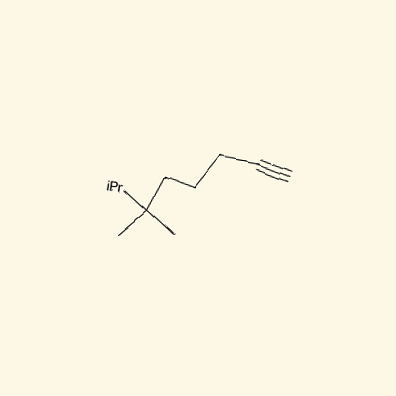 C#CCCCC(C)(C)C([CH2])C